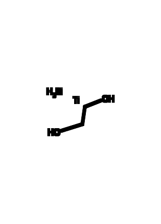 OCCO.[BiH3].[Ti]